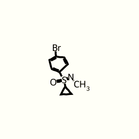 CN=S(=O)(c1ccc(Br)cc1)C1CC1